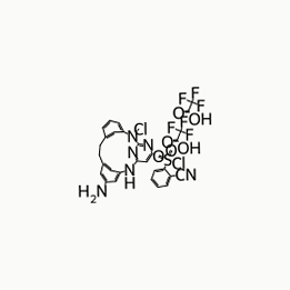 N#Cc1ccccc1S(=O)(=O)Cl.Nc1cc2cc(c1)Nc1ccnc(n1)N(Cl)c1cccc(c1)CC2.O=C(O)C(F)(F)F.O=C(O)C(F)(F)F